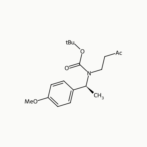 COc1ccc([C@H](C)N(CCC(C)=O)C(=O)OC(C)(C)C)cc1